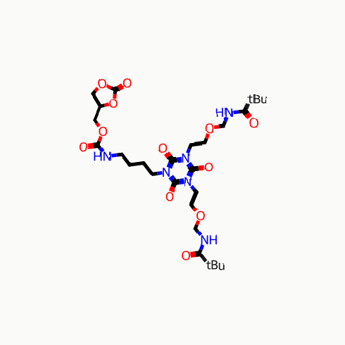 CC(C)(C)C(=O)NCOCCn1c(=O)n(CCCCNC(=O)OCC2COC(=O)O2)c(=O)n(CCOCNC(=O)C(C)(C)C)c1=O